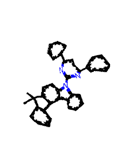 CC1(C)c2ccccc2-c2c1ccc1c2c2ccccc2n1-c1nc(-c2ccccc2)cc(-c2ccccc2)n1